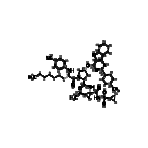 C=CCCCCC[C@H](Nc1ccc(C#N)cc1)C(=O)N1C[C@H](Oc2nc(-c3ccc(C(F)(F)F)cc3)nc3c2oc2ccccc23)C[C@H]1C(=O)N[C@]1(C(=O)NS(=O)(=O)C2CC2)C[C@H]1C=C